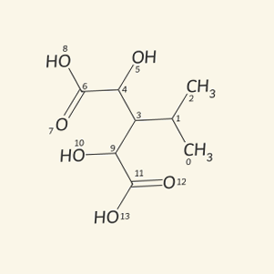 CC(C)C(C(O)C(=O)O)C(O)C(=O)O